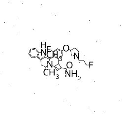 C[C@H]1Cc2c([nH]c3ccccc23)[C@@]2(C)c3c(F)cc(O[C@H]4CCN(CCCF)C4)cc3C3C4(C(N)=O)CC3(C4)N12